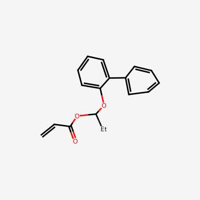 C=CC(=O)OC(CC)Oc1ccccc1-c1ccccc1